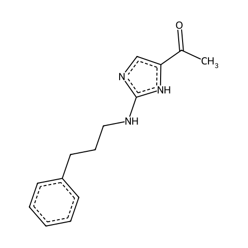 CC(=O)c1cnc(NCCCc2ccccc2)[nH]1